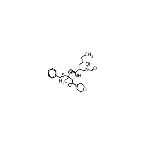 CCCC[C@H](CN(O)C=O)C(=O)N[C@H](C(=O)N1CCOCC1)C(C)(C)SCc1ccccc1